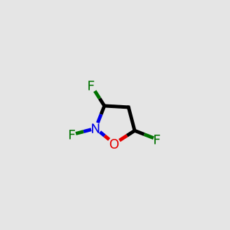 FC1CC(F)N(F)O1